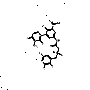 NC(=O)c1cc(NC(=O)CC(Cl)(Cl)Cc2cc(F)cc(Br)c2F)cc(-c2ccc(F)c(N)c2F)c1Cl